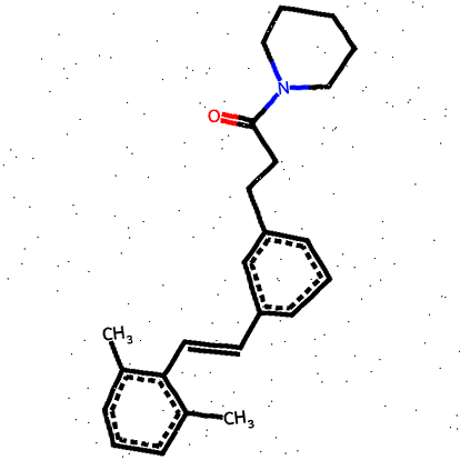 Cc1cccc(C)c1C=Cc1cccc(CCC(=O)N2CCCCC2)c1